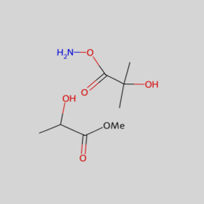 CC(C)(O)C(=O)ON.COC(=O)C(C)O